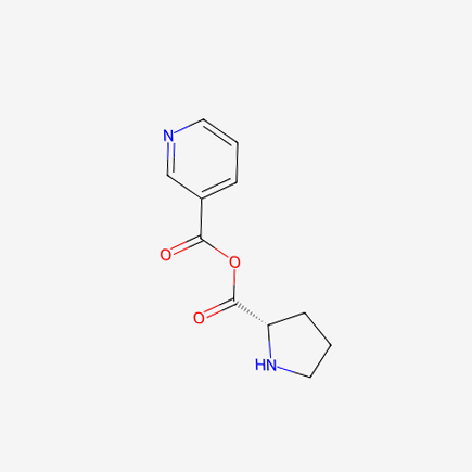 O=C(OC(=O)[C@@H]1CCCN1)c1cccnc1